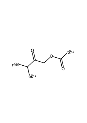 CCCCC(CCCC)C(=O)COC(=O)C(C)(C)C